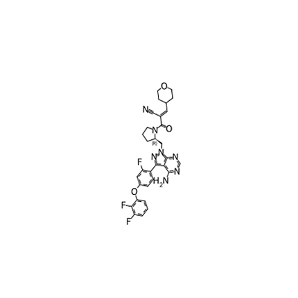 N#CC(=CC1CCOCC1)C(=O)N1CCC[C@@H]1Cn1nc(-c2ccc(Oc3cccc(F)c3F)cc2F)c2c(N)ncnc21